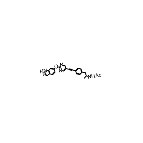 CC(=O)NC(C)Cc1ccc(C#Cc2cnc(Oc3ccc4cn[nH]c4c3)nc2)cc1